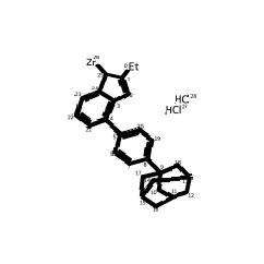 CCC1=Cc2c(-c3ccc(C45CC6CC(CC(C6)C4)C5)cc3)cccc2[CH]1[Zr].Cl.Cl